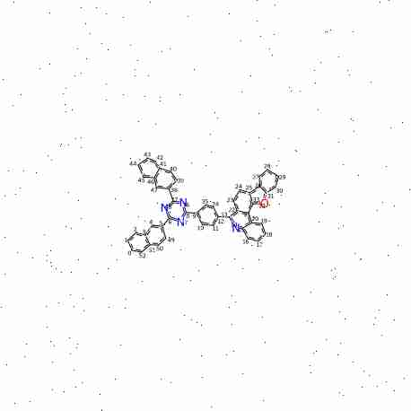 c1ccc2cc(-c3nc(-c4ccc(-c5nc6ccccc6c6c5ccc5c7ccccc7oc56)cc4)nc(-c4ccc5ccccc5c4)n3)ccc2c1